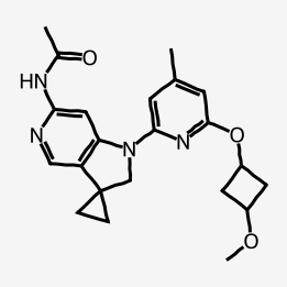 COC1CC(Oc2cc(C)cc(N3CC4(CC4)c4cnc(NC(C)=O)cc43)n2)C1